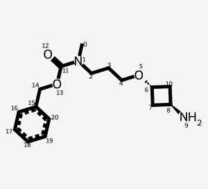 CN(CCCO[C@H]1C[C@H](N)C1)C(=O)OCc1ccccc1